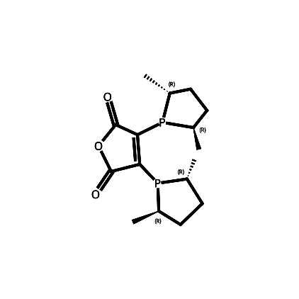 C[C@@H]1CC[C@@H](C)P1C1=C(P2[C@H](C)CC[C@H]2C)C(=O)OC1=O